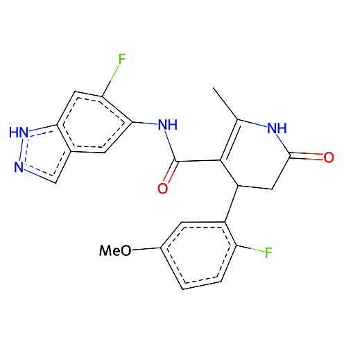 COc1ccc(F)c(C2CC(=O)NC(C)=C2C(=O)Nc2cc3cn[nH]c3cc2F)c1